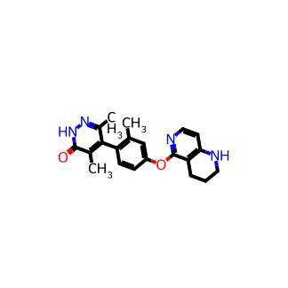 Cc1cc(Oc2nccc3c2CCCN3)ccc1-c1c(C)n[nH]c(=O)c1C